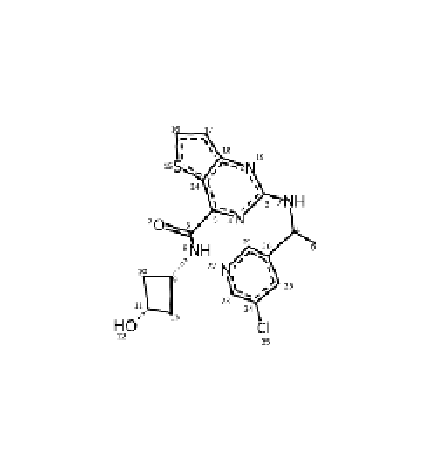 CC(Nc1nc(C(=O)N[C@H]2C[C@@H](O)C2)c2sccc2n1)c1cncc(Cl)c1